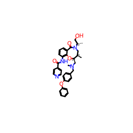 C[C@@H]1CN([C@@H](C)CO)C(=O)c2cccc(NC(=O)c3ccncc3)c2O[C@@H]1CN(C)Cc1ccc(Oc2ccccc2)cc1